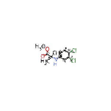 COC(=O)C(C)(C)Nc1ccc(Cl)c(Cl)c1